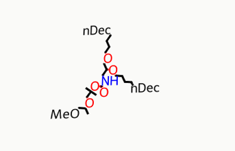 CCCCCCCCCCCCCCOCC(CNC(=O)OC(C)(C)COC(C)COC)OCCCCCCCCCCCCCC